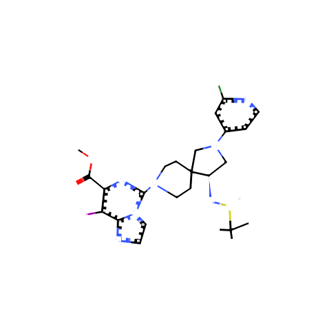 COC(=O)c1nc(N2CCC3(CC2)CN(c2ccnc(Cl)c2)C[C@H]3N[S@+]([O-])C(C)(C)C)n2ccnc2c1I